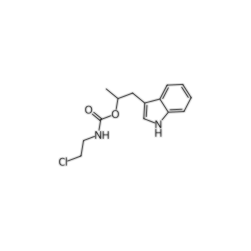 CC(Cc1c[nH]c2ccccc12)OC(=O)NCCCl